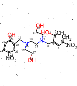 C=C(O)/C(=C\C(=C)[N+](=O)[O-])CN(CCO)CCN(CCO)Cc1cc([N+](=O)[O-])ccc1O